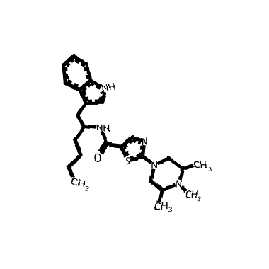 CCCCC(Cc1c[nH]c2ccccc12)NC(=O)c1cnc(N2CC(C)N(C)C(C)C2)s1